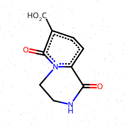 O=C(O)c1ccc2n(c1=O)CCNC2=O